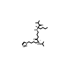 CCCC[C@](C)(NCCCC(=O)[C@](C)(CCCCn1ccnn1)NC(C)C)C(=O)C(C)C